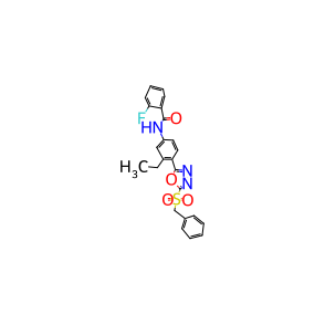 CCc1cc(NC(=O)c2ccccc2F)ccc1-c1nnc(S(=O)(=O)Cc2ccccc2)o1